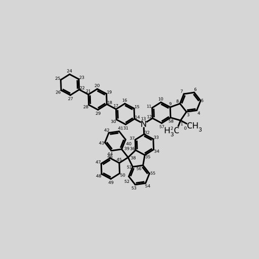 CC1(C)c2ccccc2-c2ccc(N(c3ccc(-c4ccc(C5=CCCC=C5)cc4)cc3)c3ccc4c(c3)C(c3ccccc3)(C3C=CC=CC3)c3ccccc3-4)cc21